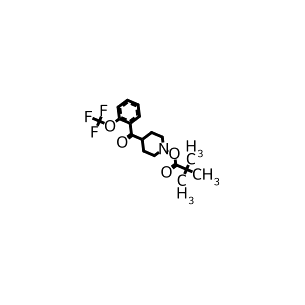 CC(C)(C)C(=O)ON1CCC(C(=O)c2ccccc2OC(F)(F)F)CC1